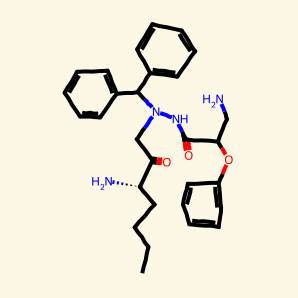 CCCC[C@H](N)C(=O)CN(NC(=O)C(CN)Oc1ccccc1)C(c1ccccc1)c1ccccc1